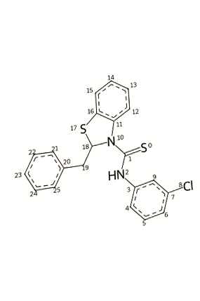 S=C(Nc1cccc(Cl)c1)N1c2ccccc2SC1Cc1ccccc1